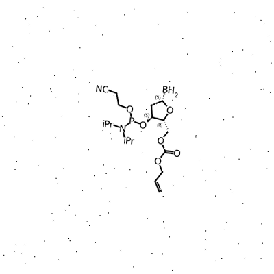 B[C@H]1C[C@H](OP(OCCC#N)N(C(C)C)C(C)C)[C@@H](COC(=O)OCC=C)O1